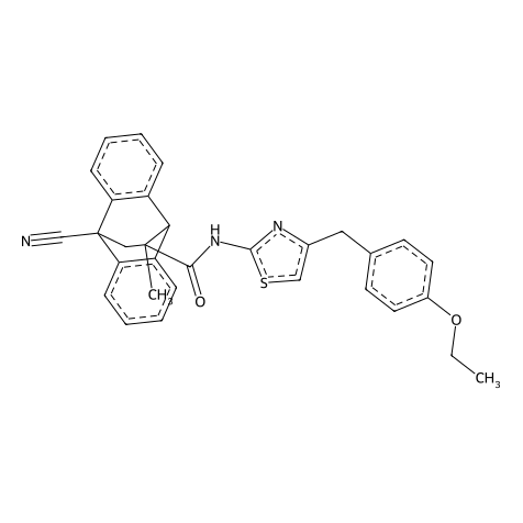 CCOc1ccc(Cc2csc(NC(=O)C3(C)CC4(C#N)c5ccccc5C3c3ccccc34)n2)cc1